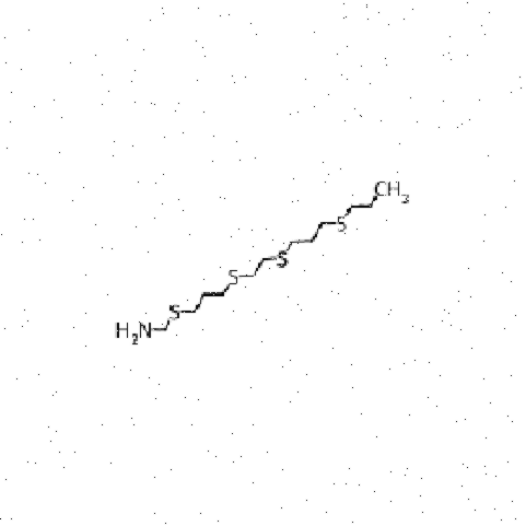 CCCSCCCSCCSCCCSCN